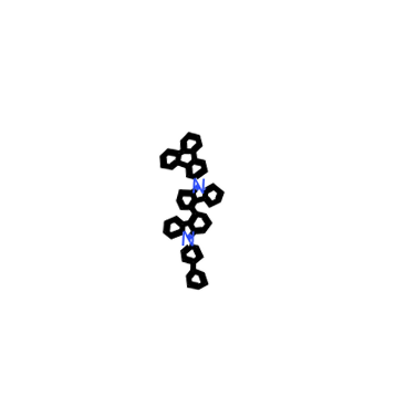 c1ccc(-c2ccc(-n3c4ccccc4c4c(-c5cccc6c5c5ccccc5n6-c5ccc6c7ccccc7c7ccccc7c6c5)cccc43)cc2)cc1